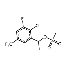 CC(OS(C)(=O)=O)c1cc(C(F)(F)F)cc(F)c1Cl